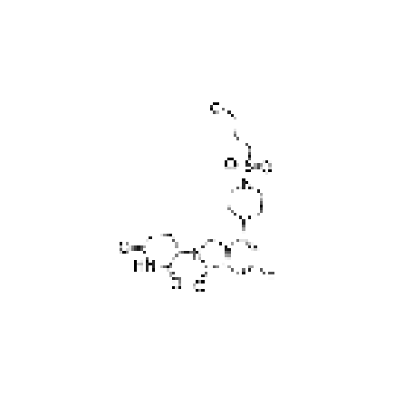 O=C1CCC(N2Cc3c(cc(F)cc3C3CCN(S(=O)(=O)CCCCl)CC3)C2=O)C(=O)N1